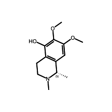 COc1cc2c(c(O)c1OC)CCN(C)[C@H]2C